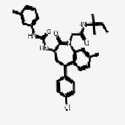 CCC(C)(C)NC(=O)CN1C(=O)C(NC(=O)Nc2cccc(C)c2)CC(c2ccc(Cl)cc2)c2ccc(C)cc21